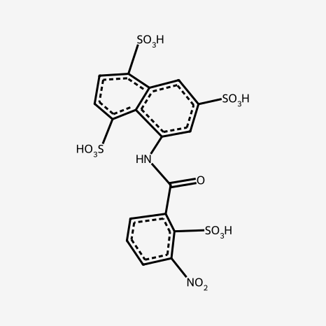 O=C(Nc1cc(S(=O)(=O)O)cc2c(S(=O)(=O)O)ccc(S(=O)(=O)O)c12)c1cccc([N+](=O)[O-])c1S(=O)(=O)O